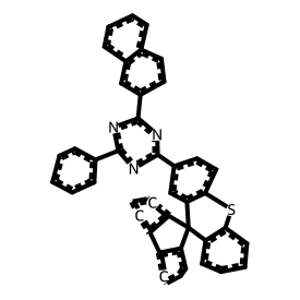 c1ccc(-c2nc(-c3ccc4c(c3)C3(c5ccccc5S4)c4ccccc4-c4ccccc43)nc(-c3ccc4ccccc4c3)n2)cc1